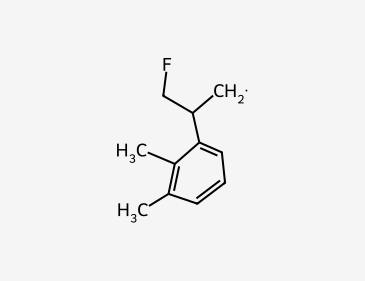 [CH2]C(CF)c1cccc(C)c1C